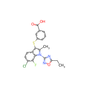 CCc1nc(-n2c(C)c(Sc3cccc(C(=O)O)c3)c3ccc(Cl)c(F)c32)no1